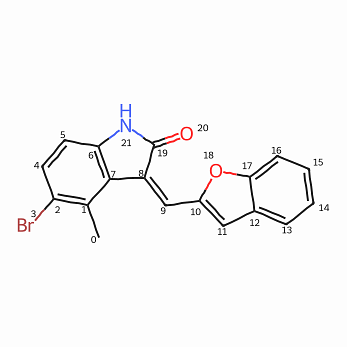 Cc1c(Br)ccc2c1C(=Cc1cc3ccccc3o1)C(=O)N2